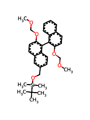 COCOc1ccc2ccccc2c1-c1c(OCOC)ccc2cc(CO[Si](C)(C)C(C)(C)C)ccc12